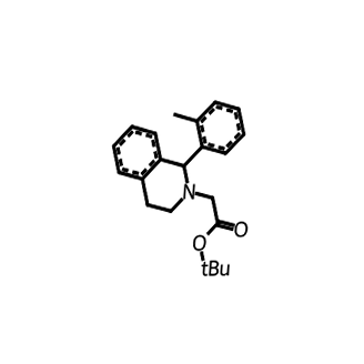 Cc1ccccc1C1c2ccccc2CCN1CC(=O)OC(C)(C)C